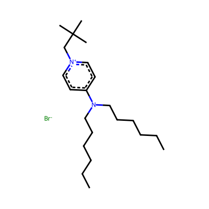 CCCCCCN(CCCCCC)c1cc[n+](CC(C)(C)C)cc1.[Br-]